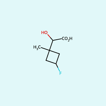 CC1(C(O)C(=O)O)CC(F)C1